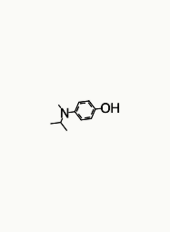 CC(C)N(C)c1ccc(O)cc1